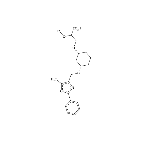 CCOC(CO[C@@H]1CCC[C@H](OCc2nc(-c3ccccc3)oc2C)C1)C(=O)O